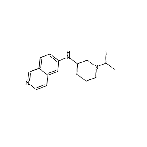 CC(I)N1CCCC(Nc2ccc3cnccc3c2)C1